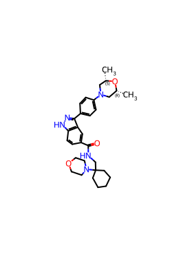 C[C@@H]1CN(c2ccc(-c3n[nH]c4ccc(C(=O)NCC5(N6CCOCC6)CCCCC5)cc34)cc2)C[C@H](C)O1